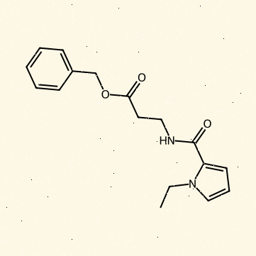 CCn1cccc1C(=O)NCCC(=O)OCc1ccccc1